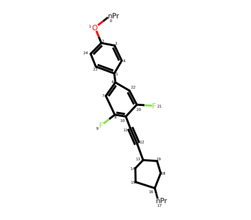 CCCOc1ccc(-c2cc(F)c(C#CC3CCC(CCC)CC3)c(F)c2)cc1